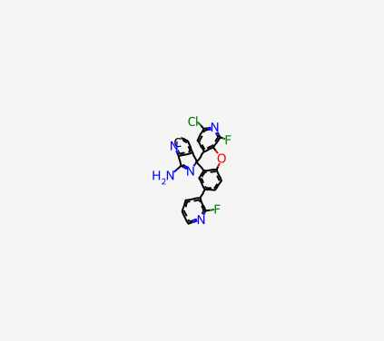 NC1=NC2(c3cc(-c4cccnc4F)ccc3Oc3c2cc(Cl)nc3F)c2cccnc21